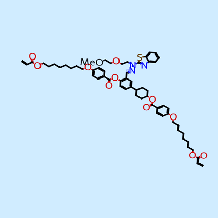 C=CC(=O)OCCCCCCCCOc1ccc(C(=O)Oc2ccc(C3CCC(OC(=O)c4ccc(OCCCCCCCCOC(=O)C=C)cc4)CC3)cc2/C=N/N(CCOCCOC)c2nc3ccccc3s2)cc1